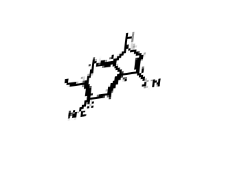 Cc1nc2[nH]cc(C#N)c2cc1Br